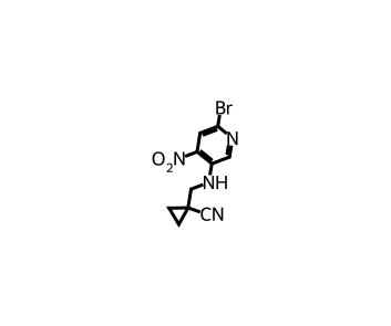 N#CC1(CNc2cnc(Br)cc2[N+](=O)[O-])CC1